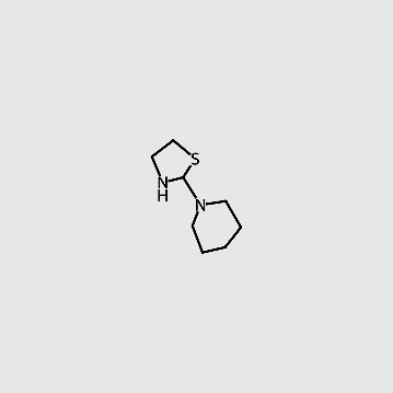 C1CCN(C2NCCS2)CC1